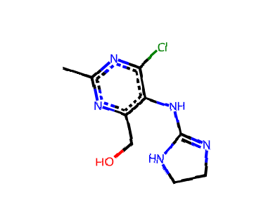 Cc1nc(Cl)c(NC2=NCCN2)c(CO)n1